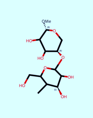 CO[C@@H]1OC[C@@H](OC2OC(CO)C(C)[C@H](O)C2O)C(O)C1O